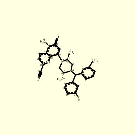 Cc1cccc(C(c2cccc(F)c2)N2C[C@H](C)N(c3cc(=O)n(C)c4ccc(C#N)nc34)C[C@H]2C)n1